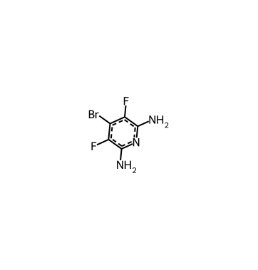 Nc1nc(N)c(F)c(Br)c1F